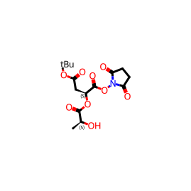 C[C@H](O)C(=O)O[C@@H](CC(=O)OC(C)(C)C)C(=O)ON1C(=O)CCC1=O